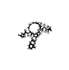 Cc1cnc(C(=O)N[C@H]2CCCCC/C=C\[C@@H]3C[C@@]3(C(=O)NS(=O)(=O)C3(C)CC3)NC(=O)[C@@H]3C[C@@H](Oc4nc5c(F)cccc5nc4C)CN3C2=O)s1